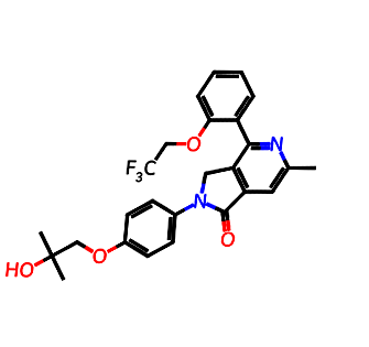 Cc1cc2c(c(-c3ccccc3OCC(F)(F)F)n1)CN(c1ccc(OCC(C)(C)O)cc1)C2=O